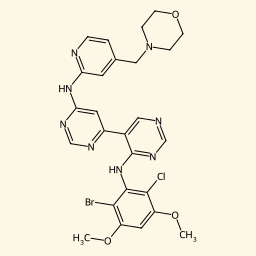 COc1cc(OC)c(Br)c(Nc2ncncc2-c2cc(Nc3cc(CN4CCOCC4)ccn3)ncn2)c1Cl